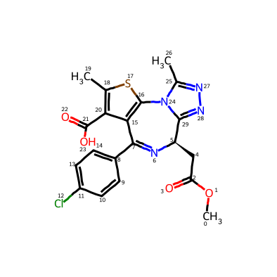 COC(=O)C[C@H]1N=C(c2ccc(Cl)cc2)c2c(sc(C)c2C(=O)O)-n2c(C)nnc21